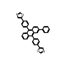 c1ccc(-c2ccc3c(-c4ccc(-c5cnco5)cc4)c4ccccc4c(-c4ccc(-c5cnco5)cc4)c3c2)cc1